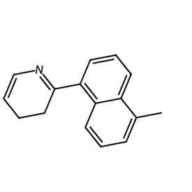 Cc1cccc2c(C3=NC=CCC3)cccc12